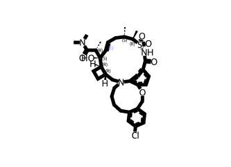 C[C@@H]1[C@@H](C)C/C=C/[C@](O)([C@@H](C)C(=O)N(C)C)[C@@H]2CC[C@H]2CN2CCCCc3cc(Cl)ccc3COc3ccc(cc32)C(=O)NS1(=O)=O